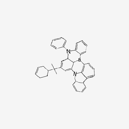 CC(C)(C1=CC2C3B(c4ccccc4N2c2ccccc2)c2cccc4c2N(C3=C1)C1C=CC=CC41)C1CC=CCC1